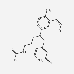 C=C/C=C(\C=C/N)CN(CCCNC(=O)C(C)(C)C)c1ccc(C)c(/C=C\C)c1